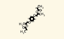 C=CC(=O)OC(C)COc1ccc(OCC(C)OC(=O)C=C)cc1